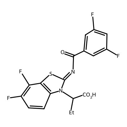 CCC(C(=O)O)n1c(=NC(=O)c2cc(F)cc(F)c2)sc2c(F)c(F)ccc21